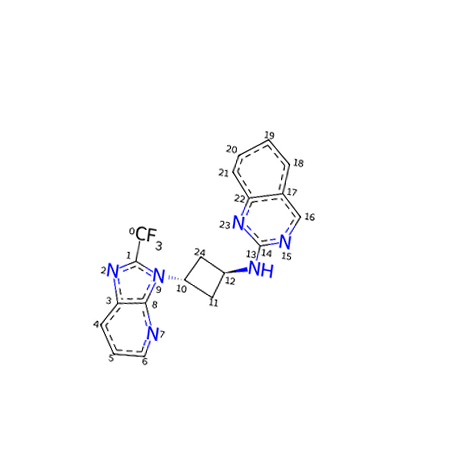 FC(F)(F)c1nc2cccnc2n1[C@H]1C[C@H](Nc2ncc3ccccc3n2)C1